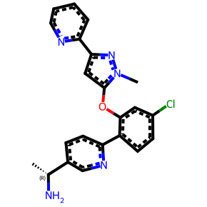 C[C@@H](N)c1ccc(-c2ccc(Cl)cc2Oc2cc(-c3ccccn3)nn2C)nc1